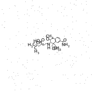 CCC1(CC)c2cc(C(N)=O)ccc2C[C@H](OC)[C@H]1NCCC(CC(C)(C)C)C(=O)O